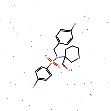 O=S(=O)(c1ccc(Cl)cc1)N(Cc1ccc(Br)cc1)C1(CO)CCCCC1